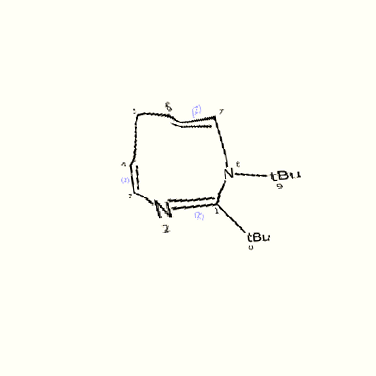 CC(C)(C)/C1=N/C=C\C/C=C\N1C(C)(C)C